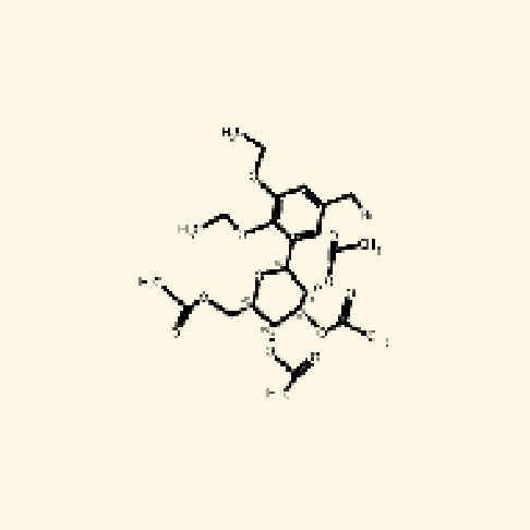 CCOc1cc(CBr)cc([C@@H]2O[C@H](COC(C)=O)[C@@H](OC(C)=O)[C@H](OC(C)=O)[C@H]2OC(C)=O)c1OCC